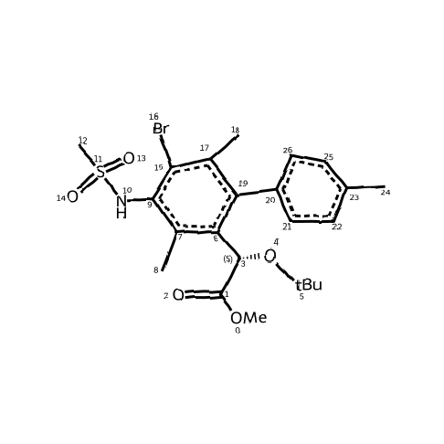 COC(=O)[C@@H](OC(C)(C)C)c1c(C)c(NS(C)(=O)=O)c(Br)c(C)c1-c1ccc(C)cc1